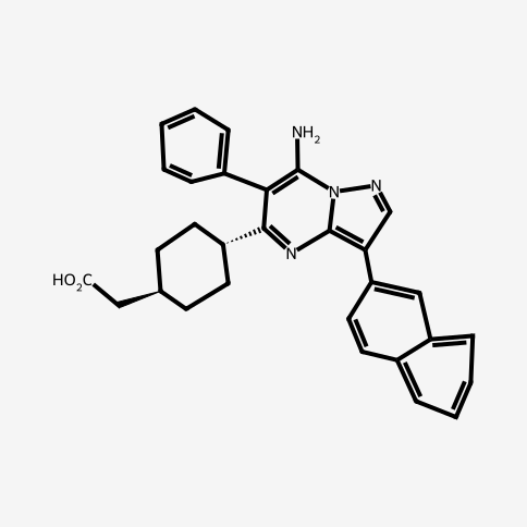 Nc1c(-c2ccccc2)c([C@H]2CC[C@H](CC(=O)O)CC2)nc2c(-c3ccc4ccccc4c3)cnn12